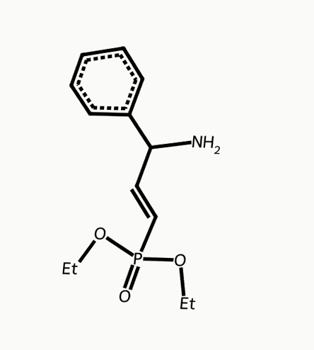 CCOP(=O)(/C=C/C(N)c1ccccc1)OCC